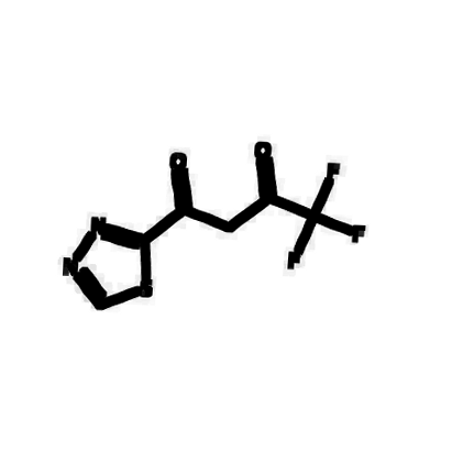 O=C(CC(=O)C(F)(F)F)c1nncs1